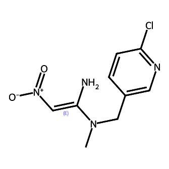 CN(Cc1ccc(Cl)nc1)/C(N)=C/[N+](=O)[O-]